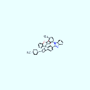 CC(C)(C)c1ccc(-n2c(-c3ccc4c(c3)C3(c5ccccc5Oc5ccccc53)c3cc(-c5ccc(C#N)cc5)ccc3-4)nc3ccccc32)cc1